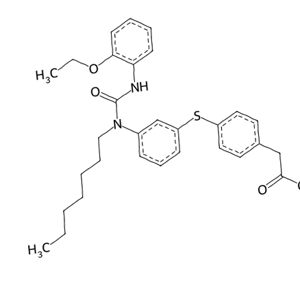 CCCCCCCN(C(=O)Nc1ccccc1OCC)c1cccc(Sc2ccc(CC(=O)O)cc2)c1